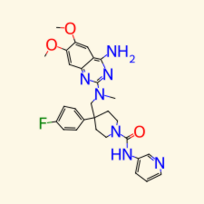 COc1cc2nc(N(C)CC3(c4ccc(F)cc4)CCN(C(=O)Nc4cccnc4)CC3)nc(N)c2cc1OC